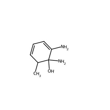 CC1C=CC=C(N)C1(N)O